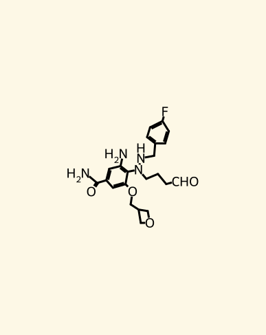 NC(=O)c1cc(N)c(N(CCCC=O)NCc2ccc(F)cc2)c(OCC2COC2)c1